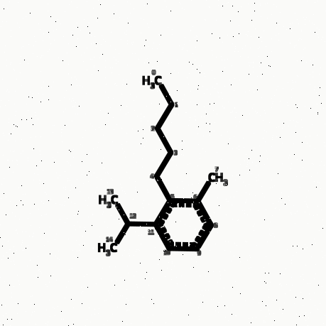 C[CH]CCCc1c(C)cccc1C(C)C